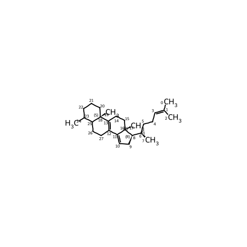 CC(C)=CCC[C@@H](C)[C@H]1CC=C2C3=C(CC[C@@]21C)[C@@]1(C)CCCC(C)C1CC3